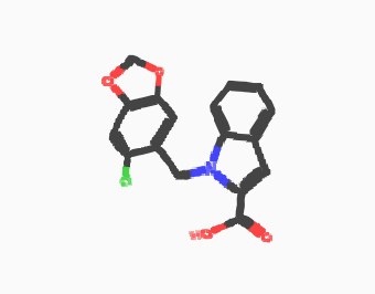 O=C(O)c1cc2ccccc2n1Cc1cc2c(cc1Cl)OCO2